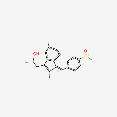 C=C(O)CC1=C(C)/C(=C/c2ccc([S+](C)[O-])cc2)c2ccc(F)cc21